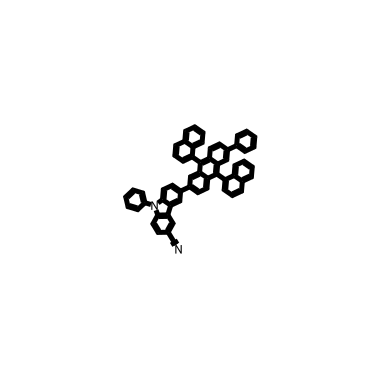 N#Cc1ccc2c(c1)c1cc(-c3ccc4c(-c5cccc6ccccc56)c5cc(-c6ccccc6)ccc5c(-c5cccc6ccccc56)c4c3)ccc1n2-c1ccccc1